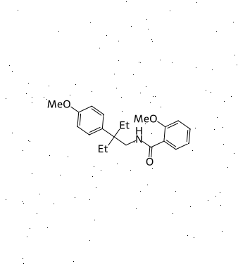 CCC(CC)(CNC(=O)c1ccccc1OC)c1ccc(OC)cc1